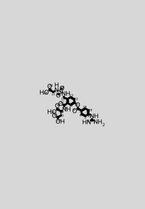 N=C(N)Nc1ccc(C(=O)Oc2ccc(CNS(=O)(=O)NCC(=O)O)c(C(=O)N[C@@H](CC(=O)O)C(=O)O)c2)cc1